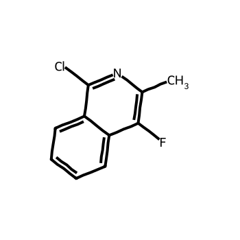 Cc1nc(Cl)c2ccccc2c1F